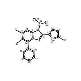 Cc1ccc(C2=Cc3c(cc(C)c(C)c3-c3ccccc3)[CH]2[Zr]([Cl])[Cl])o1